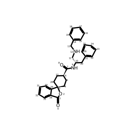 O=C1O[C@]2(CC[C@H](C(=O)N[C@H](CNCc3ccccc3)Cc3ccccc3)CC2)c2ccccc21